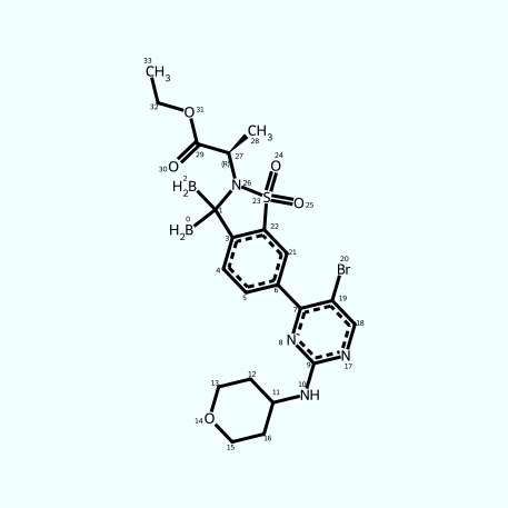 BC1(B)c2ccc(-c3nc(NC4CCOCC4)ncc3Br)cc2S(=O)(=O)N1[C@H](C)C(=O)OCC